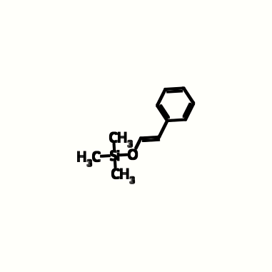 C[Si](C)(C)OC=Cc1ccccc1